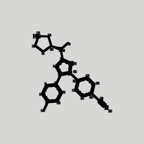 Cc1ccc(-c2cc(N(C)[C@H]3CCNC3)nn2-c2ccc(C#N)cc2)cc1